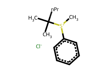 CCCC(C)(C)[S+](C)c1ccccc1.[Cl-]